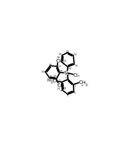 Cc1cccc(C)c1[Si](Cl)(c1ccccc1)c1c(C)cccc1C